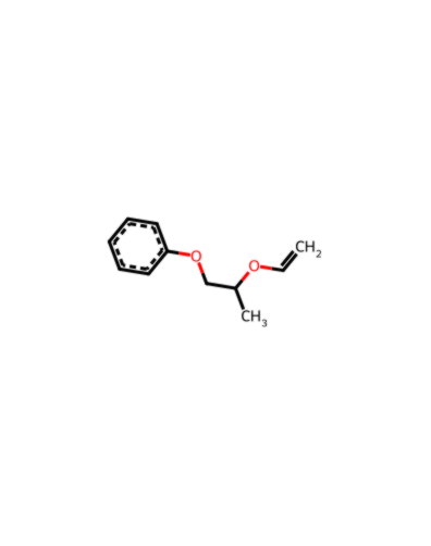 C=COC(C)COc1ccccc1